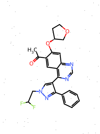 CC(=O)c1cc2c(-c3cn(CC(F)F)nc3-c3ccccc3)ncnc2cc1O[C@H]1CCOC1